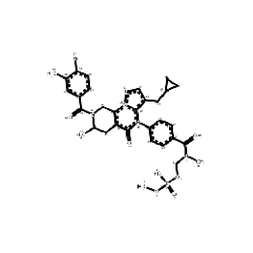 COP(=O)(O)OCN(C)C(=O)c1ccc(-n2c(=O)c3c(n4ncc(CC5CC5)c24)CN(C(=O)c2ccc(Br)c(C)c2)C(C)C3)cc1